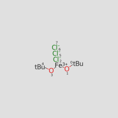 CC(C)(C)[O][Fe+3][O]C(C)(C)C.[Cl-].[Cl-].[Cl-]